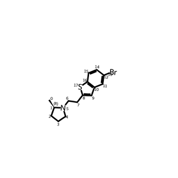 C[C@@H]1CCCN1CCc1cc2cc(Br)ccc2s1